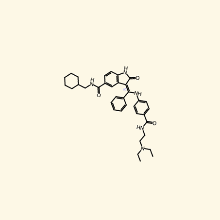 CCN(CC)CCNC(=O)c1ccc(N/C(=C2\C(=O)Nc3ccc(C(=O)NCC4CCCCC4)cc32)c2ccccc2)cc1